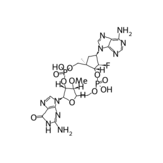 CO[C@H]1[C@H]2OP(=O)(O)OC[C@@]3(C)C[C@@H](n4cnc5c(N)ncnc54)[C@@H](F)[C@@H]3OP(=O)(O)OC[C@H]1O[C@H]2n1cnc2c(=O)[nH]c(N)nc21